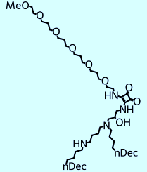 CCCCCCCCCCCCCCNCCCCN(CCCCCCCCCCCCCC)CC(O)CNc1c(NCCOCCCOCCCOCCCOCCCOCCOC)c(=O)c1=O